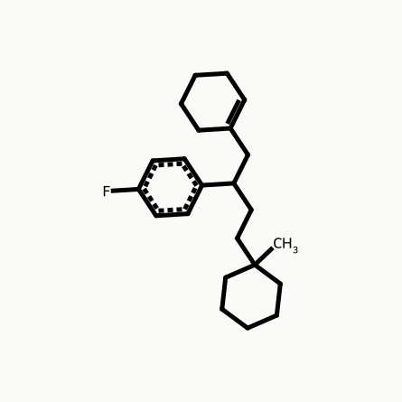 CC1(CCC(CC2=CCCCC2)c2ccc(F)cc2)CCCCC1